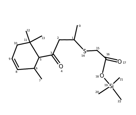 CC(CC(=O)C1C(C)C=CCC1(C)C)SCC(=O)O[Si](C)(C)C